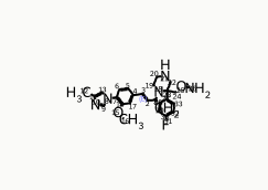 C=C(/C=C/c1ccc(-n2cnc(C)c2)c(OC)c1)N1CCNCC1(CON)c1ccc(F)cc1